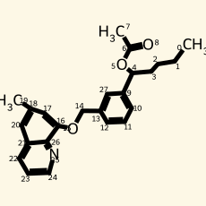 CCCCC(OC(C)=O)c1cccc(COc2cc(C)cc3cccnc23)c1